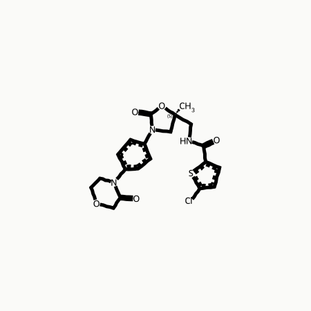 C[C@]1(CNC(=O)c2ccc(Cl)s2)CN(c2ccc(N3CCOCC3=O)cc2)C(=O)O1